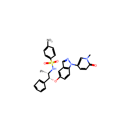 CC(C)[C@H](NS(=O)(=O)c1ccc([N+](=O)[O-])cc1)[C@H](Oc1ccc2c(cnn2-c2ccc(=O)n(C)c2)c1)c1ccccc1